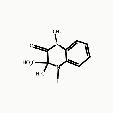 CN1C(=O)C(C)(C(=O)O)N(I)c2ccccc21